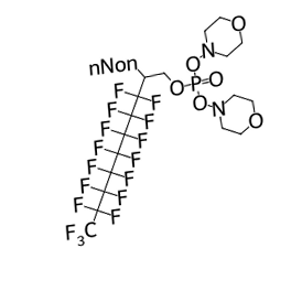 CCCCCCCCCC(COP(=O)(ON1CCOCC1)ON1CCOCC1)C(F)(F)C(F)(F)C(F)(F)C(F)(F)C(F)(F)C(F)(F)C(F)(F)C(F)(F)F